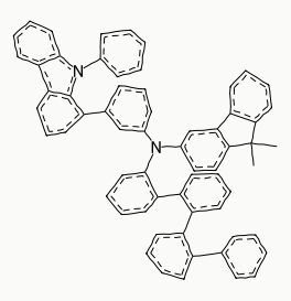 CC1(C)c2ccccc2-c2cc(N(c3cccc(-c4cccc5c6ccccc6n(-c6ccccc6)c45)c3)c3ccccc3-c3ccccc3-c3ccccc3-c3ccccc3)ccc21